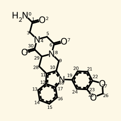 NC(=O)CN1CC(=O)N2Cc3c(c4ccccc4n3-c3ccc4c(c3)OCO4)CC2C1=O